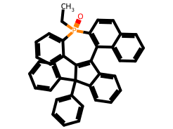 CCP1(=O)c2ccccc2C2=C(c3ccccc3C2(c2ccccc2)c2ccccc2)c2c1ccc1ccccc21